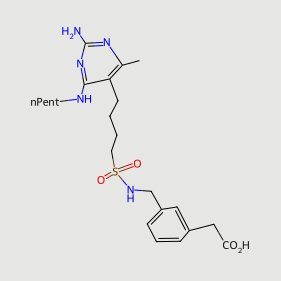 CCCCCNc1nc(N)nc(C)c1CCCCS(=O)(=O)NCc1cccc(CC(=O)O)c1